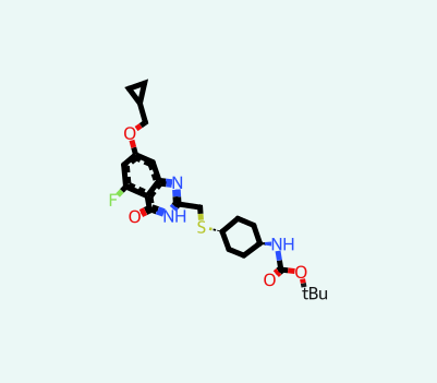 CC(C)(C)OC(=O)N[C@H]1CC[C@H](SCc2nc3cc(OCC4CC4)cc(F)c3c(=O)[nH]2)CC1